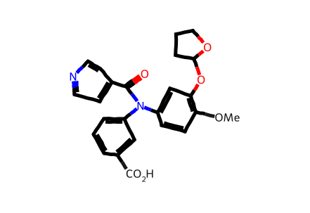 COc1ccc(N(C(=O)c2ccncc2)c2cccc(C(=O)O)c2)cc1OC1CCCO1